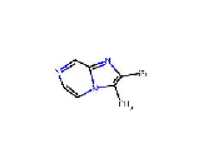 Cc1c(C(C)C)nc2cnccn12